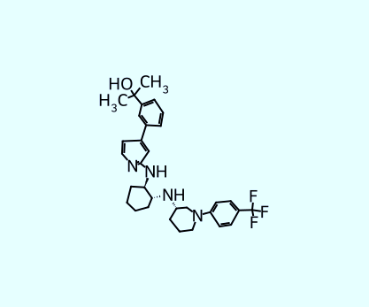 CC(C)(O)c1cccc(-c2ccnc(N[C@@H]3CCCC[C@H]3N[C@H]3CCCN(c4ccc(C(F)(F)F)cc4)C3)c2)c1